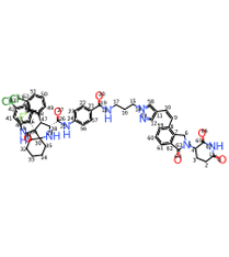 O=C1CCC(N2Cc3c(/C=C\c4cnn(CCCNC(=O)c5ccc(NC(=O)[C@@H]6NC7(CCCCC7)[C@@]7(C(=O)Nc8cc(Cl)ccc87)[C@H]6c6cccc(Cl)c6F)cc5)c4)cccc3C2=O)C(=O)N1